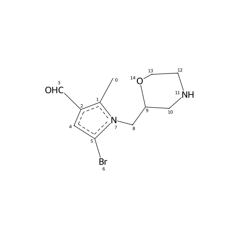 Cc1c(C=O)cc(Br)n1CC1CNCCO1